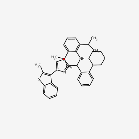 Cc1sc2ccccc2c1-c1csc(C(Nc2c(C(C)C)cccc2C(C)C)c2ccccc2C2CCCCC2)n1